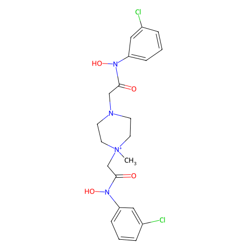 C[N+]1(CC(=O)N(O)c2cccc(Cl)c2)CCN(CC(=O)N(O)c2cccc(Cl)c2)CC1